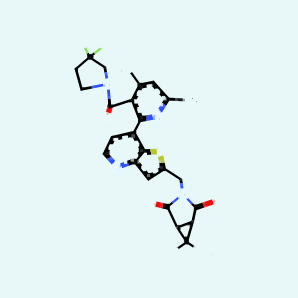 Cc1cc(C#N)nc(-c2ccnc3cc(CN4C(=O)C5C(C4=O)C5(C)C)sc23)c1C(=O)N1CCC(F)(F)C1.Cl